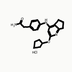 Cl.NC(=O)Cc1ccc(Nc2cc(OC3CCCC3)nc3c2CCC3)cc1